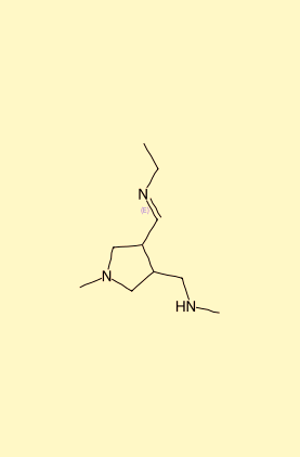 CC/N=C/C1CN(C)CC1CNC